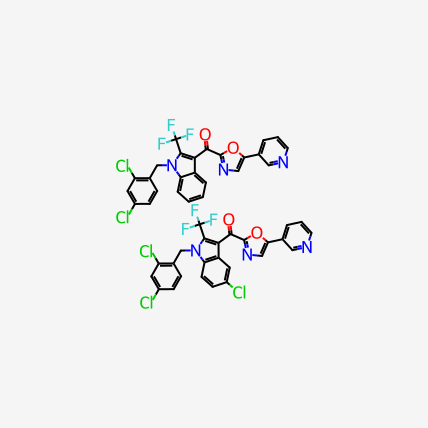 O=C(c1ncc(-c2cccnc2)o1)c1c(C(F)(F)F)n(Cc2ccc(Cl)cc2Cl)c2ccc(Cl)cc12.O=C(c1ncc(-c2cccnc2)o1)c1c(C(F)(F)F)n(Cc2ccc(Cl)cc2Cl)c2ccccc12